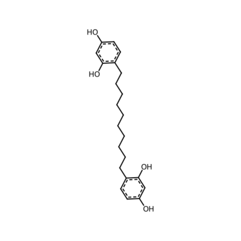 Oc1ccc(CCCCCCCCCCc2ccc(O)cc2O)c(O)c1